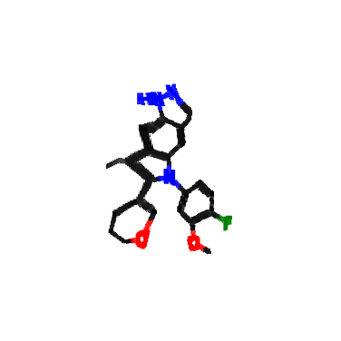 COc1cc(-n2c(C3CCCOC3)c(C)c3cc4[nH]ncc4cc32)ccc1F